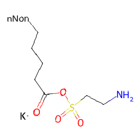 CCCCCCCCCCCCCC(=O)OS(=O)(=O)CCN.[K]